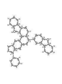 c1ccc(-n2ccc3cc4c(cc(-c5ccc6oc7ccccc7c6c5)c5ccc6c7ccccc7oc6c54)cc32)cc1